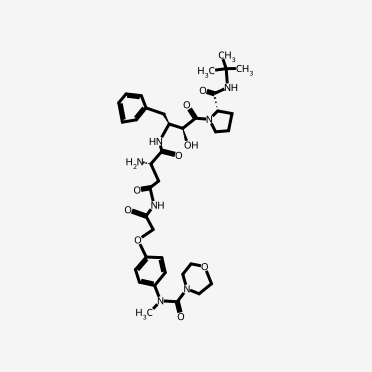 CN(C(=O)N1CCOCC1)c1ccc(OCC(=O)NC(=O)C[C@H](N)C(=O)N[C@@H](Cc2ccccc2)[C@H](O)C(=O)N2CCC[C@H]2C(=O)NC(C)(C)C)cc1